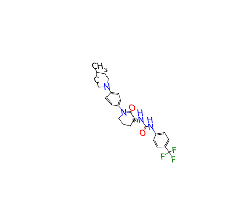 CC1CCN(c2ccc(N3CCC[C@@H](NC(=O)Nc4ccc(C(F)(F)F)cc4)C3=O)cc2)CC1